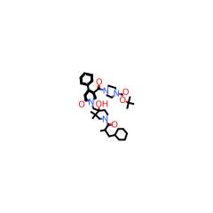 CC(CC1CCCCC1)C(=O)N1CCC(O)(Cn2cc(C(=O)N3CCN(C(=O)OC(C)(C)C)CC3)c(-c3ccccc3)cc2=O)C(C)(C)C1